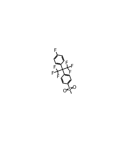 CS(=O)(=O)c1ccc(C(c2ccc(F)cc2)(C(F)(F)F)C(F)(F)F)cc1